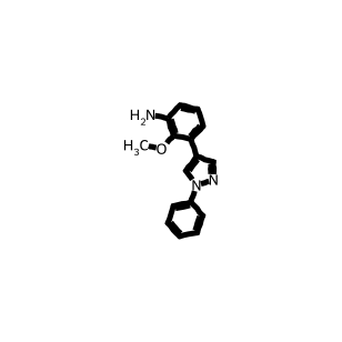 COc1c(N)cccc1-c1cnn(-c2ccccc2)c1